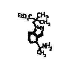 C=C(N)c1cccc2c1cnn2CC(C)(C)C(=O)OCC